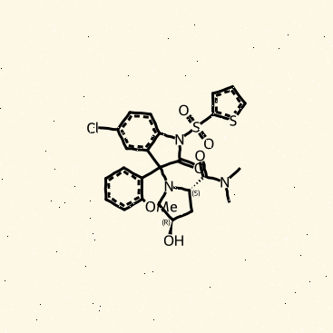 COc1ccccc1C1(N2C[C@H](O)C[C@H]2C(=O)N(C)C)C(=O)N(S(=O)(=O)c2cccs2)c2ccc(Cl)cc21